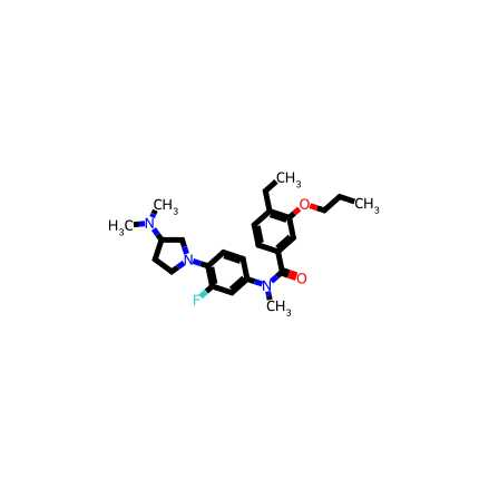 CCCOc1cc(C(=O)N(C)c2ccc(N3CCC(N(C)C)C3)c(F)c2)ccc1CC